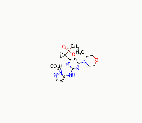 CC1COCCN1c1cc(C2(S(C)(=O)=O)CC2)nc(Nc2ccnn2C(=O)O)n1